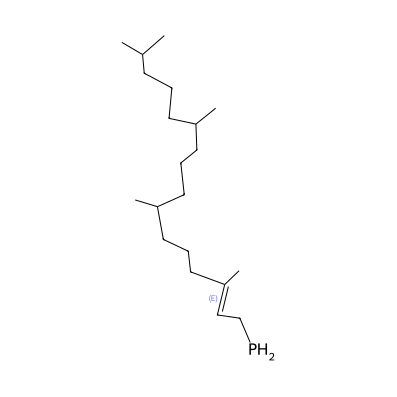 C/C(=C\CP)CCCC(C)CCCC(C)CCCC(C)C